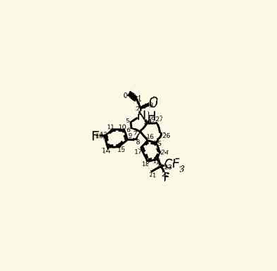 C#CC(=O)N1CC[C@@]2(Cc3ccc(F)cc3)c3ccc(C(C)(F)C(F)(F)F)cc3CC[C@@H]12